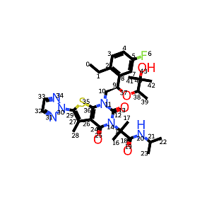 CCc1ccc(F)cc1[C@H](Cn1c(=O)n(C(C)(C)C(=O)NC(C)C)c(=O)c2c(C)c(-n3nccn3)sc21)OC(C)C(C)(C)O